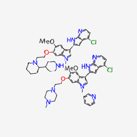 COc1cc2c(-c3cc4c(Cl)ccnc4[nH]3)cn(C)c2cc1OCCN1CCCCC1C1CCNCC1.COc1cc2c(-c3cc4c(Cl)ccnc4[nH]3)cn(C)c2cc1OCCN1CCN(C)CC1.c1ccncc1